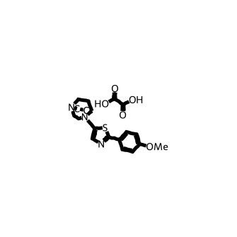 COc1ccc(-c2ncc(N3CCN4CCC3CC4)s2)cc1.O=C(O)C(=O)O